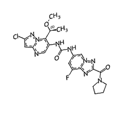 CO[C@@H](C)c1c(NC(=O)Nc2cc(F)c3nc(C(=O)N4CCCC4)nn3c2)cnc2cc(Cl)nn12